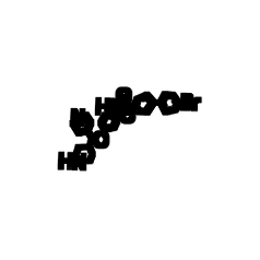 O=S(=O)(Nc1ccc(OC(c2ccncc2)C2CCNCC2)cc1)c1ccc(-c2ccc(Br)cc2)cc1